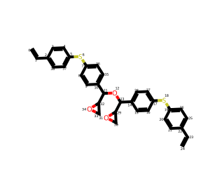 C=Cc1ccc(Sc2ccc(C(OC(c3ccc(Sc4ccc(C=C)cc4)cc3)C3CO3)C3CO3)cc2)cc1